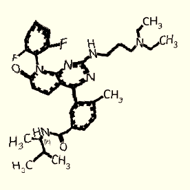 CCN(CC)CCCNc1nc(-c2cc(C(=O)N[C@H](C)C(C)C)ccc2C)c2ccc(=O)n(-c3c(F)cccc3F)c2n1